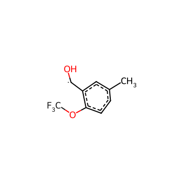 Cc1ccc(OC(F)(F)F)c([CH]O)c1